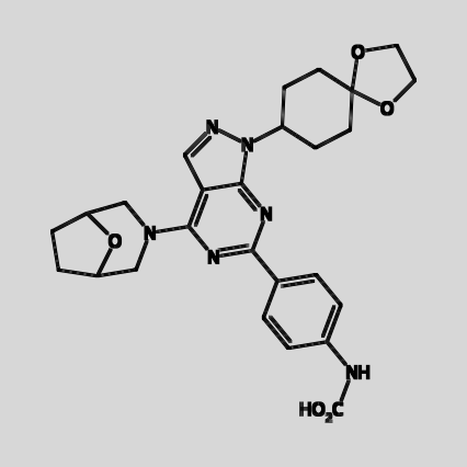 O=C(O)Nc1ccc(-c2nc(N3CC4CCC(C3)O4)c3cnn(C4CCC5(CC4)OCCO5)c3n2)cc1